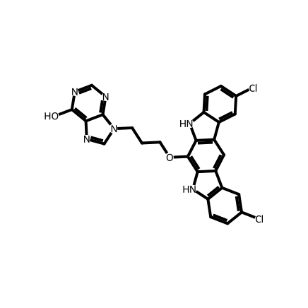 Oc1ncnc2c1ncn2CCCOc1c2[nH]c3ccc(Cl)cc3c2cc2c1[nH]c1ccc(Cl)cc12